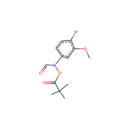 COc1cc(N(C=O)OC(=O)C(C)(C)C)ccc1Br